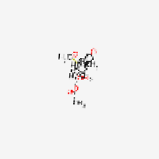 CCCC(=O)OCCC[C@]1(O)[C@@H]2C[C@@H]2[C@H]2[C@@H]3[C@H](SC(C)=O)CC4=CC(=O)CC[C@]4(C)[C@H]3CC[C@@]21C